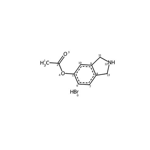 Br.CC(=O)Oc1ccc2c(c1)CNC2